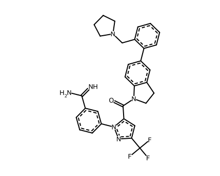 N=C(N)c1cccc(-n2nc(C(F)(F)F)cc2C(=O)N2CCc3cc(-c4ccccc4CN4CCCC4)ccc32)c1